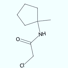 CC1(NC(=O)CCl)CCCC1